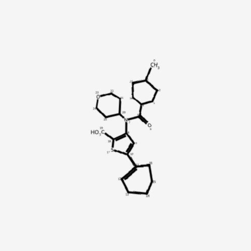 CC1CCC(C(=O)N(c2cc(C3=CCCCC3)sc2C(=O)O)C2CCOCC2)CC1